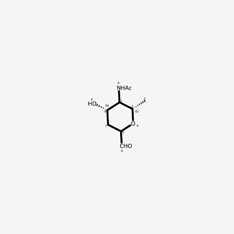 CC(=O)NC1[C@H](C)OC(C=O)C[C@@H]1O